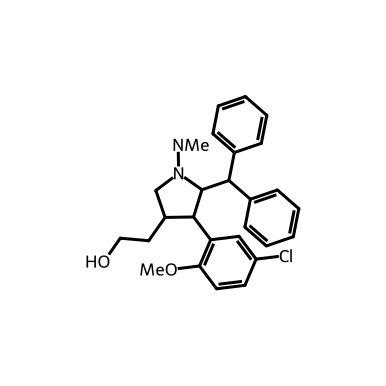 CNN1CC(CCO)C(c2cc(Cl)ccc2OC)C1C(c1ccccc1)c1ccccc1